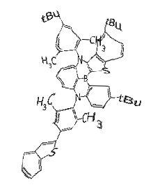 Cc1cc(-c2cc3ccccc3s2)cc(C)c1N1c2ccc(C(C)(C)C)cc2B2c3sc4ccc(C(C)(C)C)cc4c3N(c3c(C)cc(C(C)(C)C)cc3C)c3cccc1c32